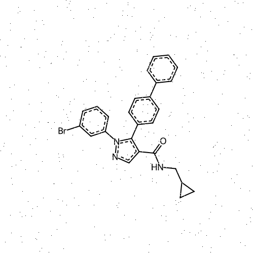 O=C(NCC1CC1)c1cnn(-c2cccc(Br)c2)c1-c1ccc(-c2ccccc2)cc1